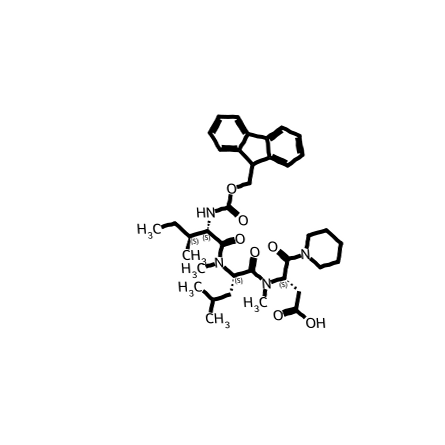 CC[C@H](C)[C@H](NC(=O)OCC1c2ccccc2-c2ccccc21)C(=O)N(C)[C@@H](CC(C)C)C(=O)N(C)[C@@H](CC(=O)O)C(=O)N1CCCCC1